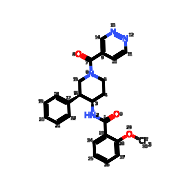 O=C(N[C@@H]1CCN(C(=O)c2ccnnc2)C[C@@H]1c1ccccc1)c1ccccc1OC(F)(F)F